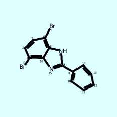 Brc1ccc(Br)c2[nH]c(-c3ccccc3)nc12